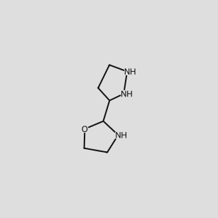 C1CC(C2NCCO2)NN1